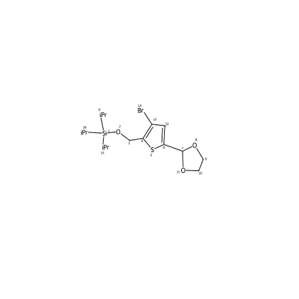 CC(C)[Si](OCc1sc(C2OCCO2)cc1Br)(C(C)C)C(C)C